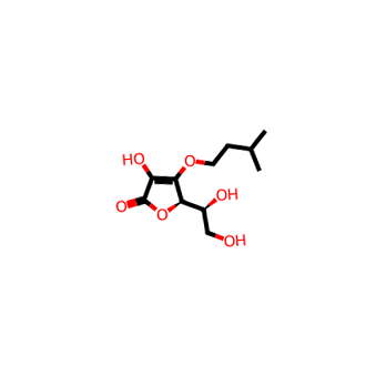 CC(C)CCOC1=C(O)C(=O)O[C@@H]1[C@@H](O)CO